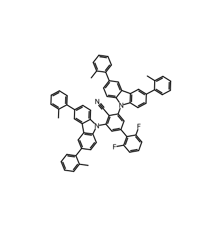 Cc1ccccc1-c1ccc2c(c1)c1cc(-c3ccccc3C)ccc1n2-c1cc(-c2c(F)cccc2F)cc(-n2c3ccc(-c4ccccc4C)cc3c3cc(-c4ccccc4C)ccc32)c1C#N